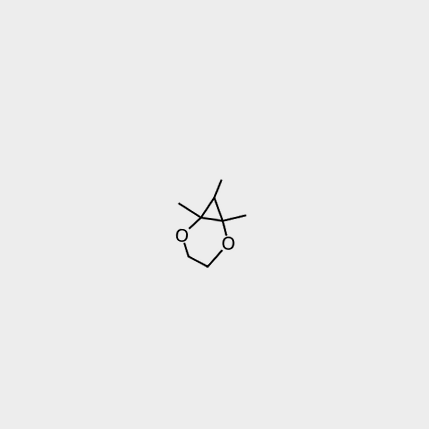 CC1C2(C)OCCOC12C